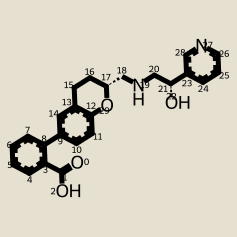 O=C(O)c1ccccc1-c1ccc2c(c1)CC[C@H](CNC[C@@H](O)c1cccnc1)O2